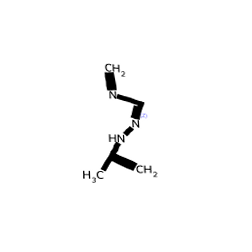 C=N/C=N\NC(=C)C